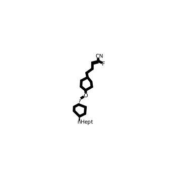 CCCCCCC[C@H]1CC[C@H](COC2CCC(CCC=C(F)C#N)CC2)CC1